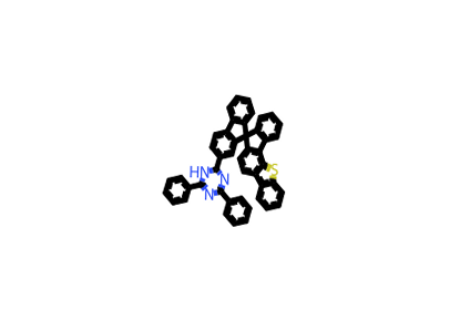 c1ccc(C2=NC(c3ccc4c(c3)C3(c5ccccc5-4)c4ccccc4-c4c3ccc3c4sc4ccccc43)NC(c3ccccc3)=N2)cc1